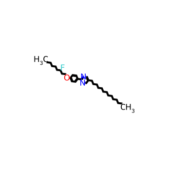 CCCCCCCCCCCCCCc1cnc(-c2ccc(OCCC(F)CCCCCC)cc2)nc1